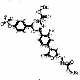 CCOC(=O)C(SC(=NNC(=O)OC(C)(C)C)c1ccc(N2C[C@H](CNC(=O)OC(C)(C)C)OC2=O)cc1F)c1ccc(OS(C)(=O)=O)cc1